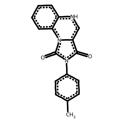 Cc1ccc(-n2c(=O)c3c[nH]c4ccccc4n-3c2=O)cc1